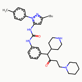 Cc1ccc(-n2nc(C(C)(C)C)cc2NC(=O)Nc2cccc(C(C(=O)CCN3CCCCC3)C3CCNCC3)c2)cc1